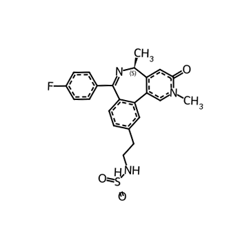 C[C@@H]1N=C(c2ccc(F)cc2)c2ccc(CCN[SH](=O)=O)cc2-c2cn(C)c(=O)cc21